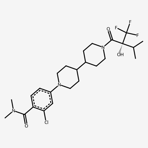 CC(C)[C@@](O)(C(=O)N1CCC(C2CCN(c3ccc(C(=O)N(C)C)c(Cl)c3)CC2)CC1)C(F)(F)F